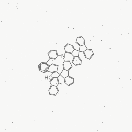 Cc1c(C2(c3ccc4ccccc4c3O)c3ccccc3-c3ccc(N(c4cccc(-c5ccccc5)c4)c4cccc5c4-c4ccccc4C54c5ccccc5-c5ccccc54)cc32)ccc2ccccc12